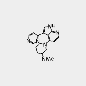 CN[C@H]1CCCN(c2ccnc3[nH]cc(-c4ccncn4)c23)C1